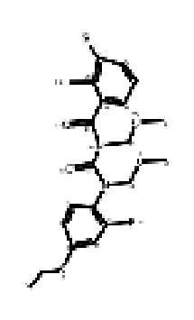 CCSc1ccc(N(COC)C(=O)N(COC)C(=O)c2cccc(F)c2F)c(F)c1